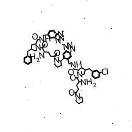 Cn1nnc2cc(CNC(=O)C3CC(Cc4ccccc4)CN3C(=O)C(N)CCC(=O)N3CCCC3c3cc4c(cc3CNC(=O)C3CC(Cc5cccc(Cl)c5)CN3C(=O)C(N)CCC(=O)N3CCCC3)nnn4C)ccc21